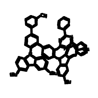 CC(C)(C)c1ccc2c(c1)c1cc(C(C)(C)C)ccc1n2-c1ccc(-c2cccc(C#N)c2)cc1-c1ccc(-n2c3ccc(C(C)(C)C)cc3c3cc(C(C)(C)C)ccc32)c(-c2nc(-c3ccccc3)nc(-c3ccccc3)n2)c1